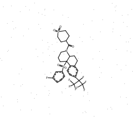 O=C(C1CCS(=O)(=O)CC1)N1CCCC2(S(=O)(=O)c3cccc(F)c3)c3ccc(C(F)(C(F)(F)F)C(F)(F)F)cc3CCC12